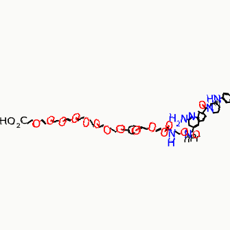 CCCN(OCCNC(=O)OCCOCCOCCOCCOCCOCCOCCOCCOCCOCCOCCC(=O)O)C(=O)C1=Cc2ccc(C(=O)N3CCC[C@@H](Nc4ccccc4)C3)cc2N=C(N)C1